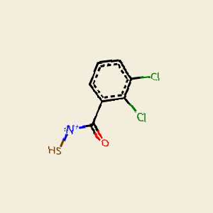 O=C([N+]S)c1cccc(Cl)c1Cl